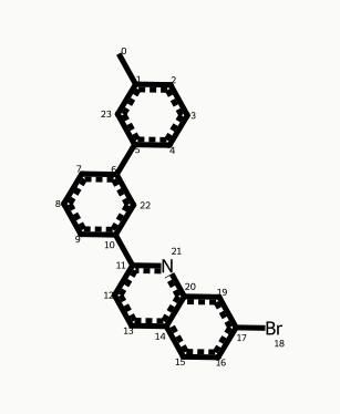 Cc1cccc(-c2cccc(-c3ccc4ccc(Br)cc4n3)c2)c1